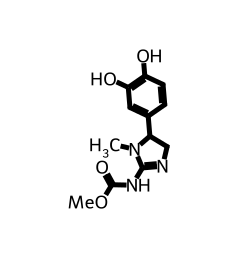 COC(=O)NC1=NCC(c2ccc(O)c(O)c2)N1C